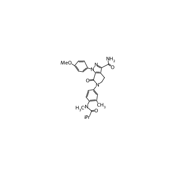 COc1ccc(-n2nc(C(N)=O)c3c2C(=O)N(c2ccc(N(C)C(=O)C(C)C)c(C)c2)CC3)cc1